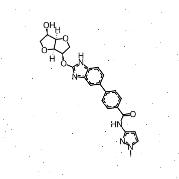 Cn1ccc(NC(=O)c2ccc(-c3ccc4[nH]c(O[C@@H]5CO[C@H]6[C@@H]5OC[C@H]6O)nc4c3)cc2)n1